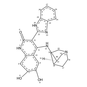 O=c1[nH]c2cc(O)c(O)cc2c(N[C@H]2CN3CCC2CC3)c1-c1nc2ccccc2[nH]1